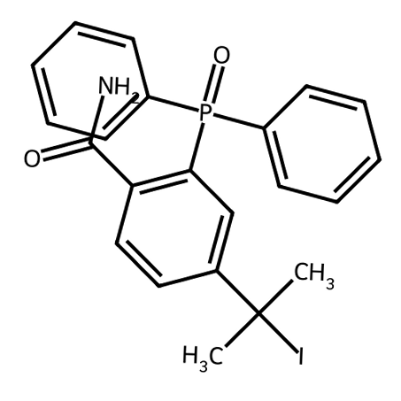 CC(C)(I)c1ccc(C(N)=O)c(P(=O)(c2ccccc2)c2ccccc2)c1